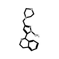 Cn1nc(CN2CCOCC2)cc1C1[N]CCc2ccccc21